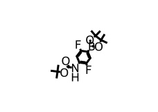 CC(C)(C)OC(=O)Nc1cc(F)c(B2OC(C)(C)C(C)(C)O2)cc1F